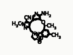 Cc1ccc2c(c1)[C@@H](C)Oc1cc(cnc1N)-c1c(nn(C)c1C#N)CN1CCS(=O)(=O)N21